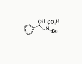 CC(C)(C)N(C[C@@H](O)c1ccccc1)C(=O)O